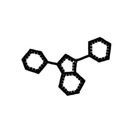 [c]1ccc2c(-c3ccccc3)cn(-c3ccccc3)c2c1